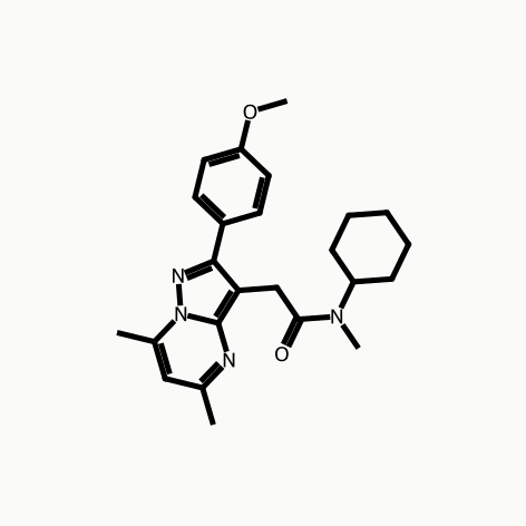 COc1ccc(-c2nn3c(C)cc(C)nc3c2CC(=O)N(C)C2CCCCC2)cc1